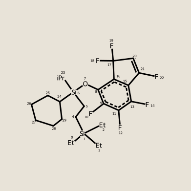 CC[Si](CC)(CC)CC[Si](Oc1c(F)c(F)c(F)c2c1C(F)(F)[C]=C2F)(C(C)C)C1CCCCC1